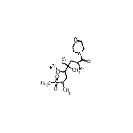 CCC(CC(C)(C)C(CN(C)S(C)(=O)=O)OC(C)C)C(=O)N1CCOCC1